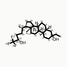 CC[C@]1(O)CC[C@@]2(C)[C@H](CC[C@@H]3[C@@H]2CC[C@]2(C)[C@@H]([C@H](C)CC[C@H](O)C(F)(F)F)CC[C@@H]32)C1